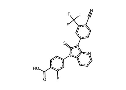 N#Cc1ccc(-n2c(=S)n(-c3ccc(C(=O)O)c(F)c3)c3cccnc32)cc1C(F)(F)F